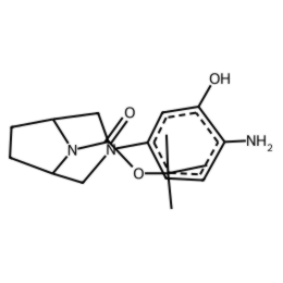 CC(C)(C)OC(=O)N1C2CCC1CN(c1ccc(N)c(O)c1)C2